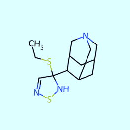 CCSC1(C2C3CC4CC2CN(C4)C3)C=NSN1